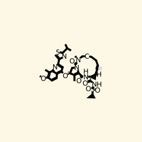 COc1ccc2c(O[C@H]3CN4C(=O)N(C)CCCC/C=C\[C@@H]5C[C@@]5(C(=O)NS(=O)(=O)C5CC5)NC(=O)C4=C3C)cc(-c3csc(C(C)C)n3)nc2c1C